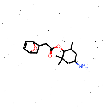 CC1CC(N)CC(C)(C)C1OC(=O)CC1CC2C=CC1O2